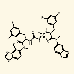 CN(C(=O)[C@H](Cc1cc(F)cc(F)c1)NS(=O)(=O)NC(=O)N[C@@H](Cc1cc(F)cc(F)c1)C(=O)N(C)c1ccc2scnc2c1F)c1ccc2scnc2c1